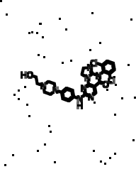 O=C1c2cnc(Nc3ccc(N4CCN(CCO)CC4)cc3)nc2N2CCN=C2N1c1c(Cl)cccc1Cl